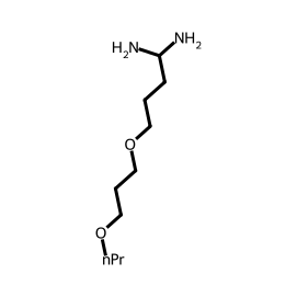 CCCOCCCOCCCC(N)N